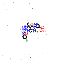 CC1=C(C(=O)Nc2cc(C(=O)O)ccn2)C(C)N=C(Nc2nc3ccc(F)cc3o2)N1